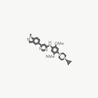 CNc1cc(Nc2cc(-c3ccc4c(cnn4C)c3)ncn2)c(OC)cc1N1CCN(C2CC2)CC1